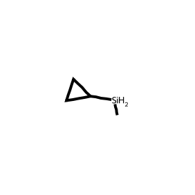 C[SiH2]C1CC1